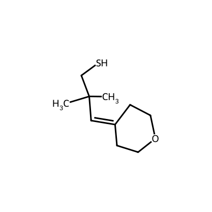 CC(C)(C=C1CCOCC1)CS